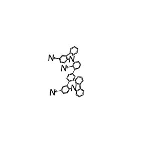 N#Cc1ccc(-n2c3ccccc3c3ccccc32)c(-c2ccc(-c3cccc(-n4c5ccccc5c5cc(C#N)ccc54)c3C#N)cc2)c1